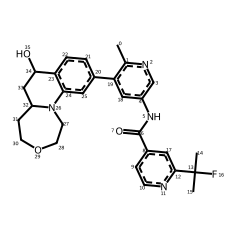 Cc1ncc(NC(=O)c2ccnc(C(C)(C)F)c2)cc1-c1ccc2c(c1)N1CCOCCC1CC2O